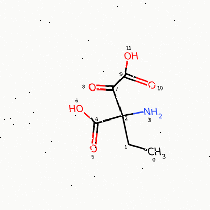 CCC(N)(C(=O)O)C(=O)C(=O)O